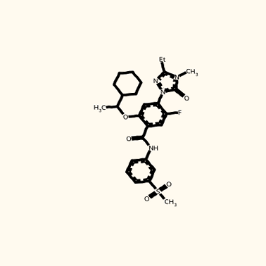 CCc1nn(-c2cc(OC(C)C3CCCCC3)c(C(=O)Nc3cccc(S(C)(=O)=O)c3)cc2F)c(=O)n1C